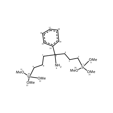 CO[Si](CCCC(N)(CCC[Si](OC)(OC)OC)c1ccccc1)(OC)OC